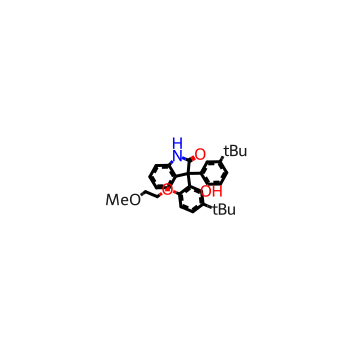 COCCOc1ccc(C(C)(C)C)cc1C1(c2cc(C(C)(C)C)ccc2O)C(=O)Nc2ccccc21